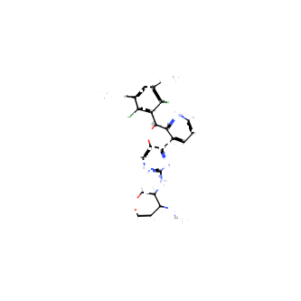 COc1cc(OC)c(Cl)c(C2Oc3cnc(NC4COCCC4NC=O)nc3-c3cccnc32)c1Cl